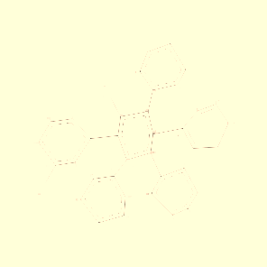 Cc1c(-c2ccccc2)c(C2=CCCC=C2)c(-c2ccccc2)c(-c2ccccc2)c1-c1cccc(O)c1